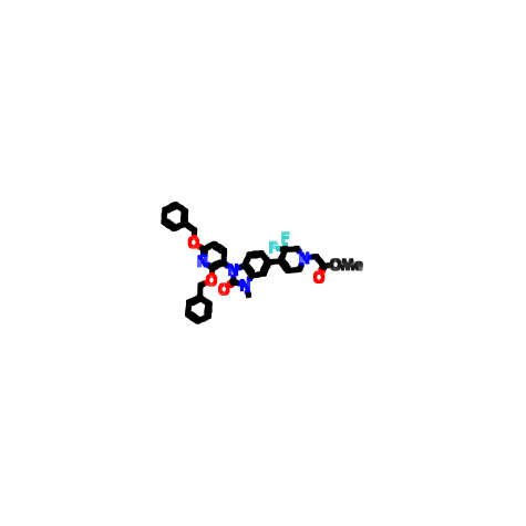 COC(=O)CN1CC=C(c2ccc3c(c2)n(C)c(=O)n3-c2ccc(OCc3ccccc3)nc2OCc2ccccc2)C(F)(F)C1